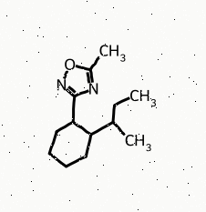 CCC(C)C1CCCCC1c1noc(C)n1